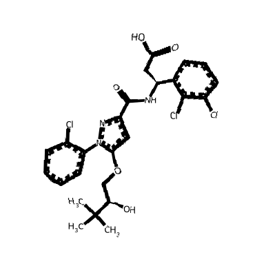 CC(C)(C)[C@H](O)COc1cc(C(=O)N[C@@H](CC(=O)O)c2cccc(Cl)c2Cl)nn1-c1ccccc1Cl